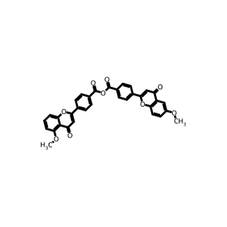 COc1ccc2oc(-c3ccc(C(=O)OC(=O)c4ccc(-c5cc(=O)c6c(OC)cccc6o5)cc4)cc3)cc(=O)c2c1